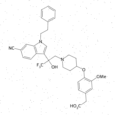 COc1cc(CC(=O)O)ccc1OC1CCN(CC(O)(c2cn(CCc3ccccc3)c3cc(C#N)ccc23)C(F)(F)F)CC1